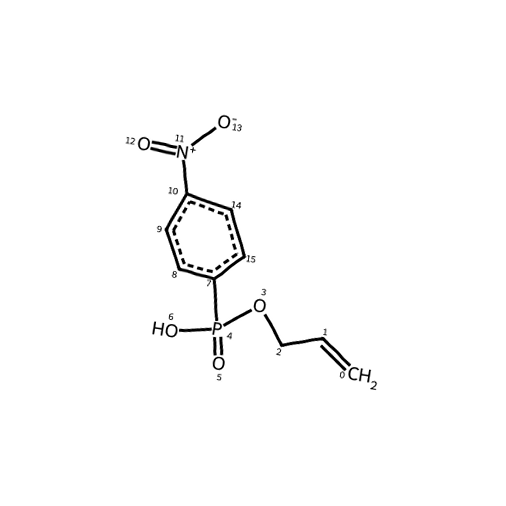 C=CCOP(=O)(O)c1ccc([N+](=O)[O-])cc1